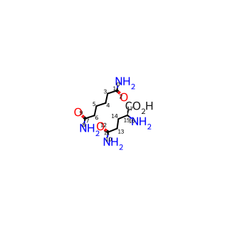 NC(=O)CCCCC(N)=O.NC(=O)CC[C@H](N)C(=O)O